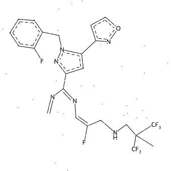 C=N/C(=N\C=C(\F)CNCC(C)(C(F)(F)F)C(F)(F)F)c1cc(-c2ccon2)n(Cc2ccccc2F)n1